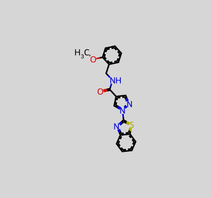 COc1ccccc1CNC(=O)c1cnn(-c2nc3ccccc3s2)c1